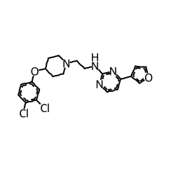 Clc1ccc(OC2CCN(CCNc3nccc(-c4ccoc4)n3)CC2)cc1Cl